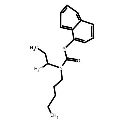 CCCCCN(C(=O)Sc1cccc2ccccc12)C(C)CC